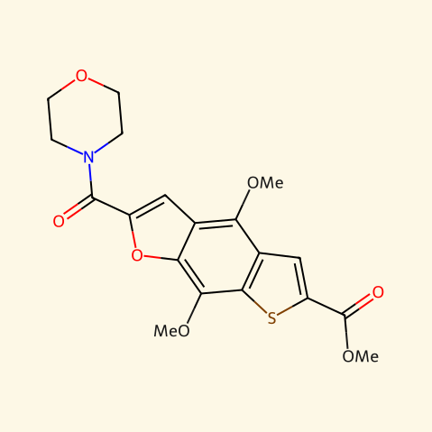 COC(=O)c1cc2c(OC)c3cc(C(=O)N4CCOCC4)oc3c(OC)c2s1